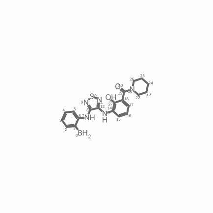 Bc1ccccc1Nc1nsnc1Nc1cccc(C(=O)N2CCCCC2)c1O